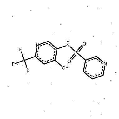 O=S(=O)(Nc1cnc(C(F)(F)F)cc1O)c1cccnc1